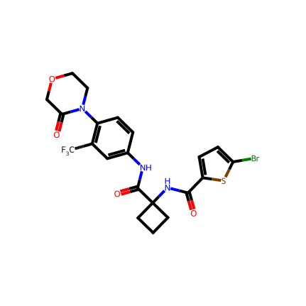 O=C(NC1(C(=O)Nc2ccc(N3CCOCC3=O)c(C(F)(F)F)c2)CCC1)c1ccc(Br)s1